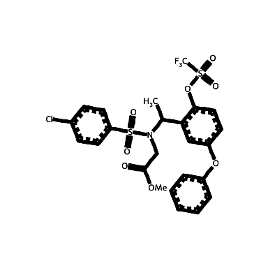 COC(=O)CN(C(C)c1cc(Oc2ccccc2)ccc1OS(=O)(=O)C(F)(F)F)S(=O)(=O)c1ccc(Cl)cc1